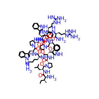 CC[C@H](C)[C@H](N)C(=O)N[C@@H](CC(C)C)C(=O)N1CCC[C@H]1C(=O)N[C@@H](Cc1c[nH]c2ccccc12)C(=O)N[C@@H](CCCCN)C(=O)N[C@@H](Cc1c[nH]c2ccccc12)C(=O)N1CCC[C@H]1C(=O)N[C@@H](Cc1ccccc1)C(=O)N[C@@H](Cc1ccccc1)C(=O)N1CCC[C@H]1C(=O)N[C@@H](Cc1c[nH]c2ccccc12)C(=O)N[C@@H](CCCNC(=N)N)C(=O)N[C@@H](CCCNC(=N)N)C(N)=O